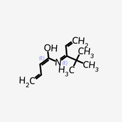 C=C/C=C(O)\N=C(/C=C)C(C)(C)C